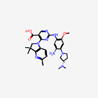 COc1cc(N2CC[C@H](N(C)C)C2)c(N)cc1Nc1ncc(C(=O)O)c(N2CC(C)(C)c3nc(C)ccc32)n1